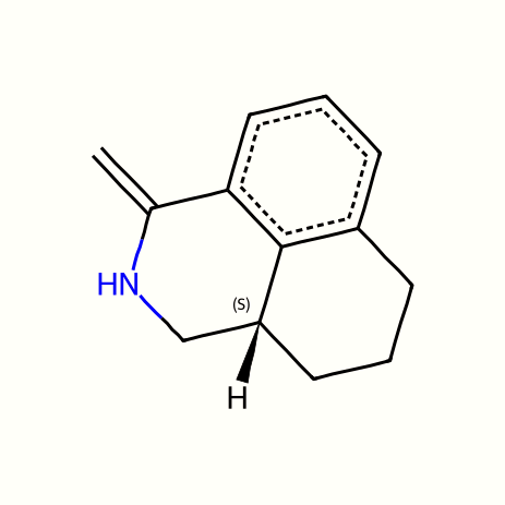 C=C1NC[C@H]2CCCc3cccc1c32